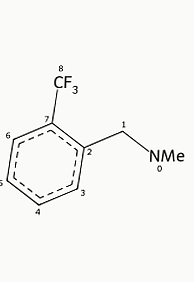 [C]NCc1ccccc1C(F)(F)F